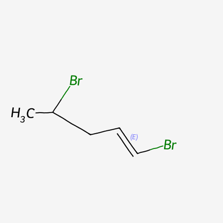 CC(Br)C/C=C/Br